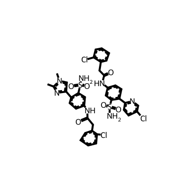 Cc1nc(-c2ccc(NC(=O)Cc3ccccc3Cl)cc2S(N)(=O)=O)cn1C.NS(=O)(=O)c1cc(NC(=O)Cc2ccccc2Cl)ccc1-c1ccc(Cl)cn1